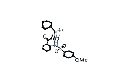 CC[C@H](NC(=O)c1ccccc1NS(=O)(=O)c1ccc(OC)cc1)c1ccccc1